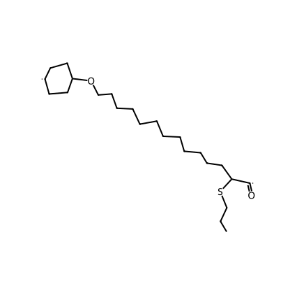 CCCSC([C]=O)CCCCCCCCCCCCOC1CC[CH]CC1